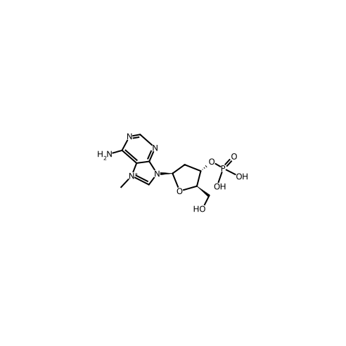 C[n+]1cn([C@H]2C[C@H](OP(=O)(O)O)[C@@H](CO)O2)c2ncnc(N)c21